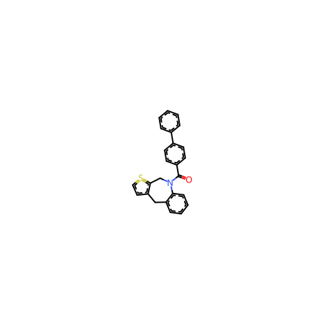 O=C(c1ccc(-c2ccccc2)cc1)N1Cc2sccc2Cc2ccccc21